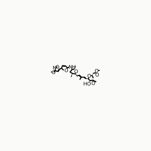 COC(=O)C[C@@H]1C[C@@]2(CO2)[C@H](O)[C@@H](/C=C/C(C)=C/C[C@@H]2O[C@H](C)[C@H](NC(=O)/C=C\C(C)c3cc(OC)no3)C[C@@H]2C)O1